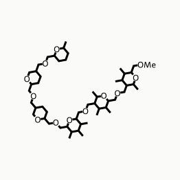 COCC1OC(C)C(COCC2OC(C)C(COCC3OC(COCC4CCC(COCC5CCC(COCC6CCCC(C)O6)CO5)CO4)C(C)C(C)C3C)C(C)C2C)C(C)C1C